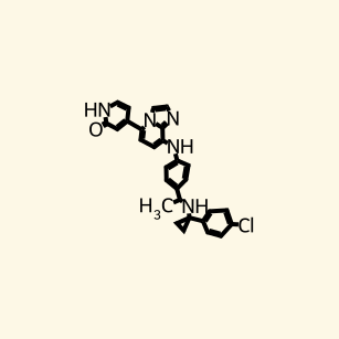 CC(NC1(c2ccc(Cl)cc2)CC1)c1ccc(Nc2ccc(-c3cc[nH]c(=O)c3)n3ccnc23)cc1